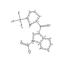 O=C(c1cccc(C(F)(F)F)n1)c1cn(C(=O)Cl)c2ccccc12